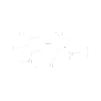 N#C/C(C(=O)NC1CC1)=C(/N)c1cc(O)c(O)c([N+](=O)[O-])c1